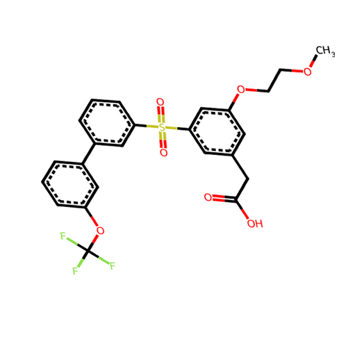 COCCOc1cc(CC(=O)O)cc(S(=O)(=O)c2cccc(-c3cccc(OC(F)(F)F)c3)c2)c1